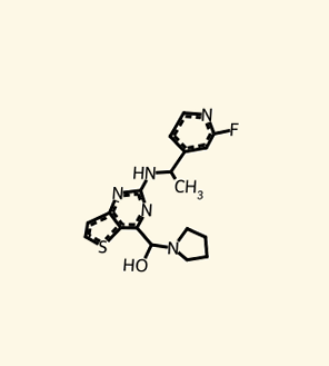 CC(Nc1nc(C(O)N2CCCC2)c2sccc2n1)c1ccnc(F)c1